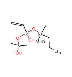 C=C[Si](O)(O[Si](C)(C)O)O[Si](C)(CCC(F)(F)F)OC